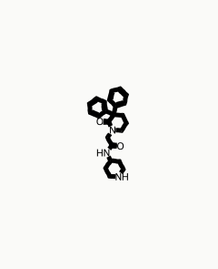 O=C(CN1CCCC(c2ccccc2)(c2ccccc2)C1=O)NC1CCNCC1